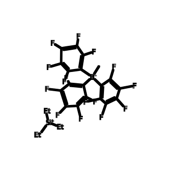 CC[Si+](CC)CC.C[B-](c1c(F)c(F)c(F)c(F)c1F)(c1c(F)c(F)c(F)c(F)c1F)c1c(F)c(F)c(F)c(F)c1F